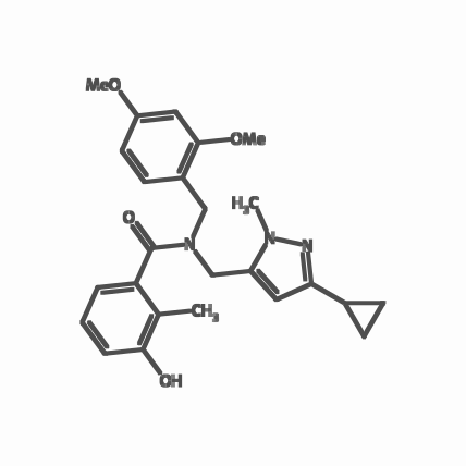 COc1ccc(CN(Cc2cc(C3CC3)nn2C)C(=O)c2cccc(O)c2C)c(OC)c1